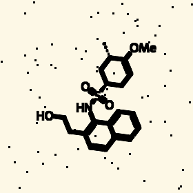 COC1=CC[C@@H](S(=O)(=O)Nc2c(CCO)ccc3ccccc23)C[C@@H]1C